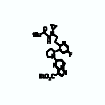 CCOC(=O)c1cnn2ccc(N3CCC[C@H]3c3cc(F)cnc3CCN(NC(=O)C(C)(C)C)C3CC3)nc12